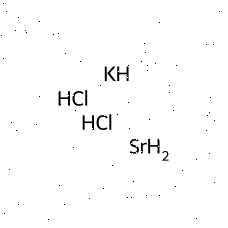 Cl.Cl.[KH].[SrH2]